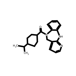 CC(C)C1CCC(C(=O)N2Cc3cccnc3Nc3ccccc32)CC1